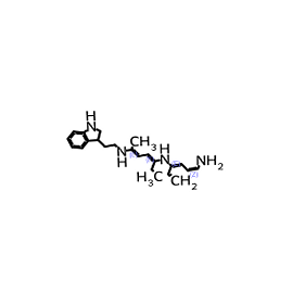 C=C/C(=C\C=C/N)N/C(=C/C=C(\C)NCCC1CNc2ccccc21)CC